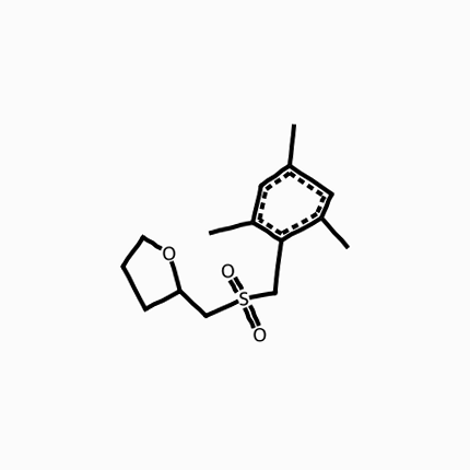 Cc1cc(C)c(CS(=O)(=O)CC2CCCO2)c(C)c1